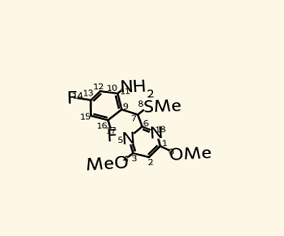 COc1cc(OC)nc(C(SC)c2c(N)cc(F)cc2F)n1